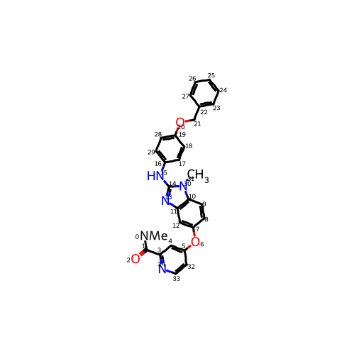 CNC(=O)c1cc(Oc2ccc3c(c2)nc(Nc2ccc(OCc4ccccc4)cc2)n3C)ccn1